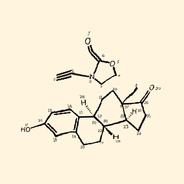 C#CN1CCOC1=O.C[C@]12CC[C@@H]3c4ccc(O)cc4CC[C@H]3[C@@H]1CCC2=O